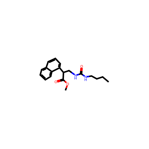 CCCCNC(=O)NCC(C(=O)OC)c1cccc2ccccc12